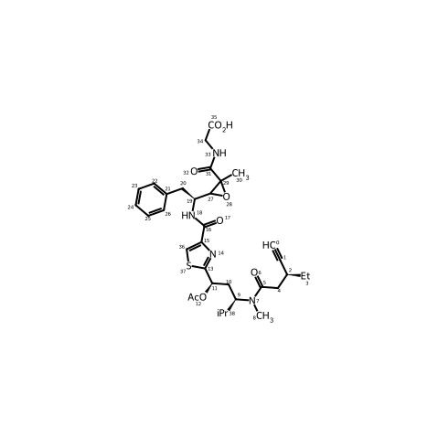 C#C[C@@H](CC)CC(=O)N(C)[C@H](C[C@@H](OC(C)=O)c1nc(C(=O)N[C@@H](Cc2ccccc2)C2OC2(C)C(=O)NCC(=O)O)cs1)C(C)C